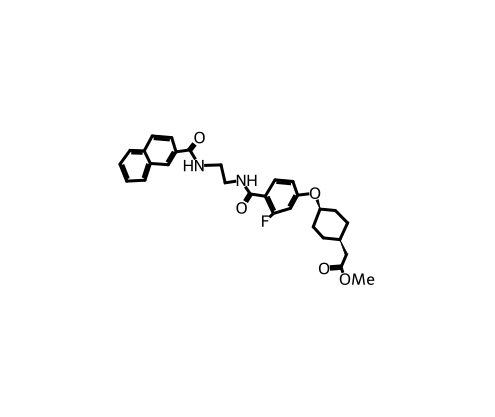 COC(=O)C[C@H]1CC[C@@H](Oc2ccc(C(=O)NCCNC(=O)c3ccc4ccccc4c3)c(F)c2)CC1